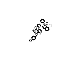 COc1ccc(CN2CN(C)C(=O)c3c2ncnc3N2CCC[C@H]2c2cc3cccc(Cl)c3c(=O)n2-c2ccccc2)cc1